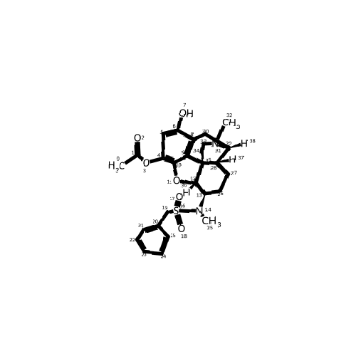 CC(=O)Oc1cc(O)c2c3c1O[C@H]1[C@H](N(C)S(=O)(=O)Cc4ccccc4)CC[C@H]4[C@@H](C2)N(C)CC[C@@]341